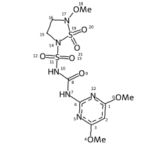 COc1cc(OC)nc(NC(=O)NS(=O)(=O)N2CCN(OC)S2(=O)=O)n1